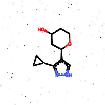 O[C@H]1CCO[C@@H](c2c[nH]nc2C2CC2)C1